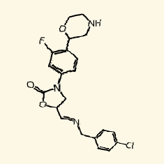 O=C1OC(/C=N/Cc2ccc(Cl)cc2)CN1c1ccc(C2CNCCO2)c(F)c1